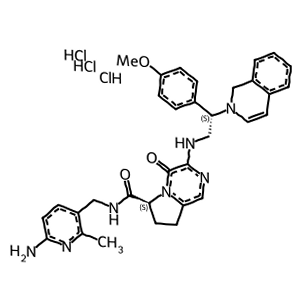 COc1ccc([C@@H](CNc2ncc3n(c2=O)[C@H](C(=O)NCc2ccc(N)nc2C)CC3)N2C=Cc3ccccc3C2)cc1.Cl.Cl.Cl